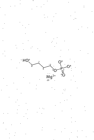 O=P([O-])([O-])OCCCCO.[Mg+2]